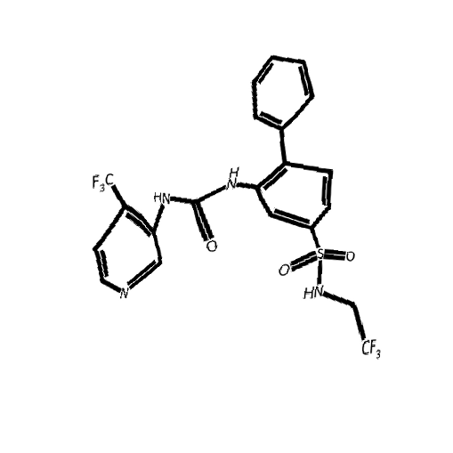 O=C(Nc1cc(S(=O)(=O)NCC(F)(F)F)ccc1-c1ccccc1)Nc1cnccc1C(F)(F)F